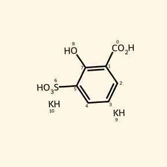 O=C(O)c1cccc(S(=O)(=O)O)c1O.[KH].[KH]